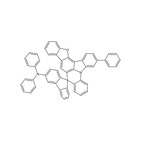 c1ccc(-c2ccc3c4c5oc6ccccc6c5cc5c4n(c3c2)-c2ccccc2C52c3ccccc3-c3cc(N(c4ccccc4)c4ccccc4)ccc32)cc1